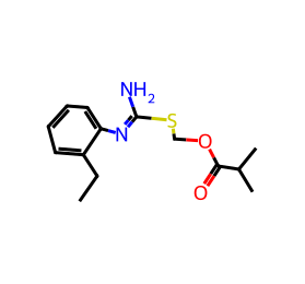 CCc1ccccc1/N=C(\N)SCOC(=O)C(C)C